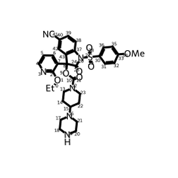 CCOc1ncccc1C1(OC(=O)N2CCC(N3CCNCC3)CC2)C(=O)N(S(=O)(=O)c2ccc(OC)cc2)c2ccc(C#N)cc21